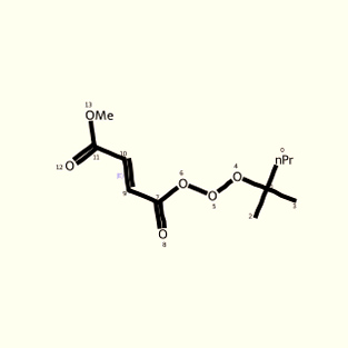 CCCC(C)(C)OOOC(=O)/C=C/C(=O)OC